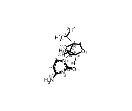 [2H]C(C)[C@@]12CO[C@@H]([C@H](n3ccc(N)nc3=O)O1)[C@@H]2C